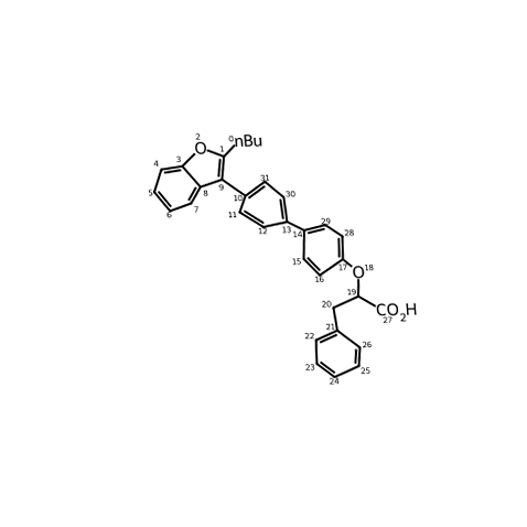 CCCCc1oc2ccccc2c1-c1ccc(-c2ccc(OC(Cc3ccccc3)C(=O)O)cc2)cc1